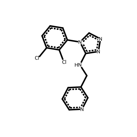 Clc1cccc(-n2cnnc2NCc2cccnc2)c1Cl